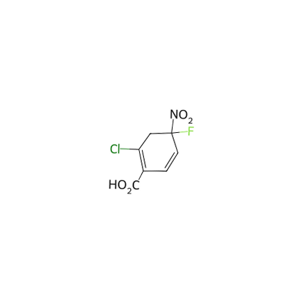 O=C(O)C1=C(Cl)CC(F)([N+](=O)[O-])C=C1